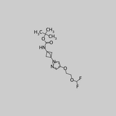 CC(C)(C)OC(=O)NC12CC(n3cc(OCCOC(F)F)cn3)(C1)C2